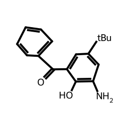 CC(C)(C)c1cc(N)c(O)c(C(=O)c2ccccc2)c1